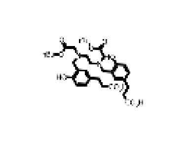 CCCCOC(=O)CN(CCN(CC(=O)OC(C)(C)C)Cc1cc(CCC(=O)O)ccc1O)Cc1cc(CCC(=O)O)ccc1O